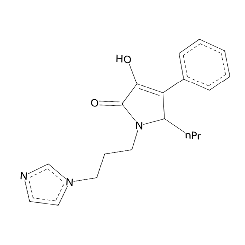 CCCC1C(c2ccccc2)=C(O)C(=O)N1CCCn1ccnc1